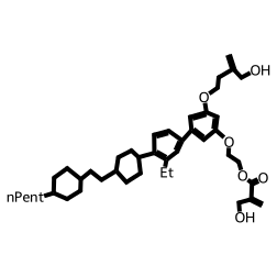 C=C(CO)CCOc1cc(OCCOC(=O)C(=C)CO)cc(-c2ccc(C3CCC(CCC4CCC(CCCCC)CC4)CC3)c(CC)c2)c1